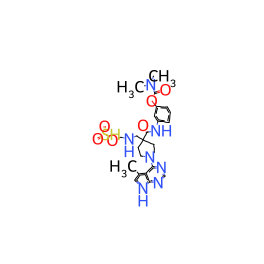 Cc1c[nH]c2ncnc(N3CCC(CNCO[SH](=O)=O)(C(=O)Nc4cccc(OC(=O)N(C)C)c4)CC3)c12